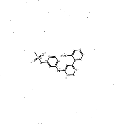 COc1ccccc1-c1cc(Nc2cccc(CS(C)(=O)=O)c2)ncn1